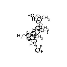 C=C(C)[C@@H]1CC[C@]2(CC(=O)NCc3cccc(F)c3F)CC[C@]3(C)[C@H](CC[C@@H]4[C@@]5(C)CC[C@H](OC(=O)CC(C)(C)CC(=O)O)C(C)(C)[C@@H]5CC[C@]43C)[C@@H]12